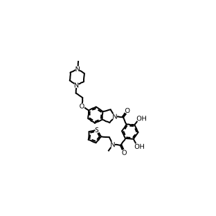 CN1CCN(CCOc2ccc3c(c2)CN(C(=O)c2cc(C(=O)N(C)Cc4cccs4)c(O)cc2O)C3)CC1